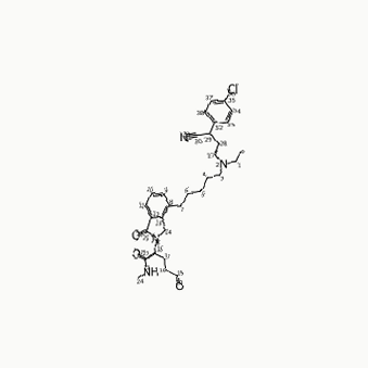 CCN(CCCCCc1cccc2c1CN(C(CCC=O)C(=O)NC)C2=O)CCC(C#N)c1ccc(Cl)cc1